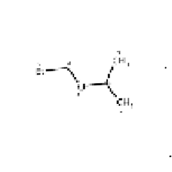 [CH2]C(C)OCCC